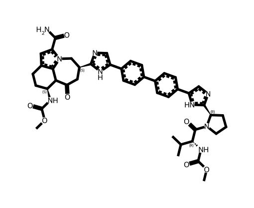 COC(=O)N[C@H]1CCc2cc(C(N)=O)n3c2C1C(=O)C[C@H](c1ncc(-c2ccc(-c4ccc(-c5cnc([C@H]6CCCN6C(=O)[C@H](NC(=O)OC)C(C)C)[nH]5)cc4)cc2)[nH]1)C3